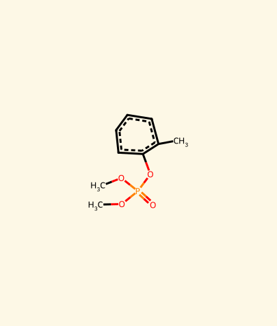 COP(=O)(OC)Oc1ccccc1C